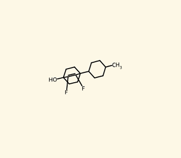 CC1CCC(C23CCC(O)(CC2)C(F)=C3F)CC1